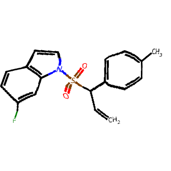 C=CC(c1ccc(C)cc1)S(=O)(=O)n1ccc2ccc(F)cc21